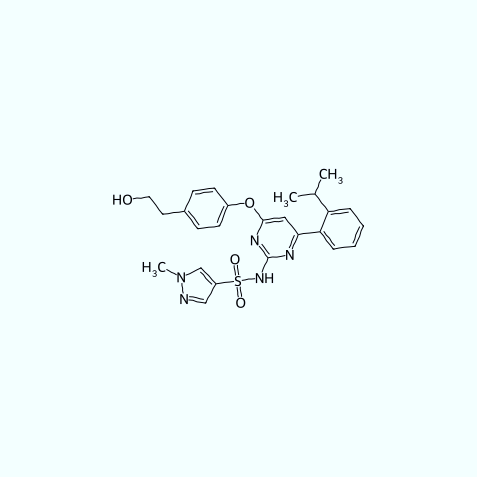 CC(C)c1ccccc1-c1cc(Oc2ccc(CCO)cc2)nc(NS(=O)(=O)c2cnn(C)c2)n1